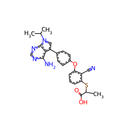 CC(Sc1cccc(Oc2ccc(-c3cn(C(C)C)c4ncnc(N)c34)cc2)c1C#N)C(=O)O